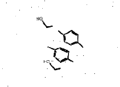 CCO.CCO.Cc1ccc(C)cc1.Cc1ccc(C)cc1